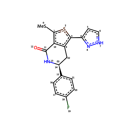 CSc1sc(-c2cc[nH]n2)c2c1C(=O)N[C@H](c1ccc(F)cc1)C2